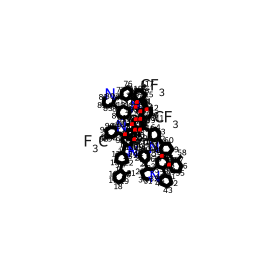 Cc1ccccc1-c1ccc2c3ccc(-c4ccccc4C)cc3n(-c3cc(-c4cccnc4-c4ccccc4-c4ccccc4)cc(-n4c5cc(-c6ccccc6C)ccc5c5ccc(-c6cc(-c7cccc(-c8cccc(-c9ncccc9-c9cc(-n%10c%11ccc(C(F)(F)F)cc%11c%11cc(C(F)(F)F)ccc%11%10)c(C#N)c(-n%10c%11ccc(C(F)(F)F)cc%11c%11cc(C(F)(F)F)ccc%11%10)c9)c8)c7)ccc6C)cc54)c3C#N)c2c1